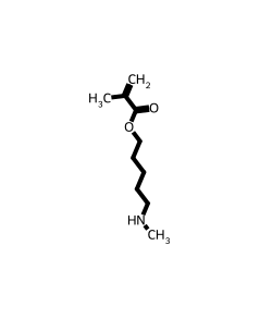 C=C(C)C(=O)OCCCCCNC